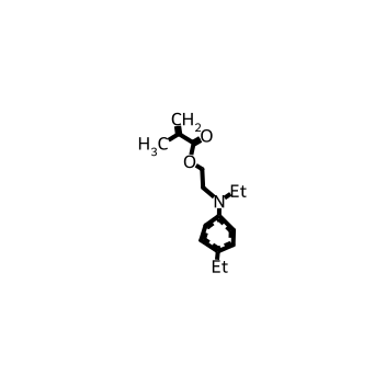 C=C(C)C(=O)OCCN(CC)c1ccc(CC)cc1